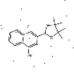 CC(C)c1cc(B2OC(C)(C)C(C)(C)O2)cc2ccccc12